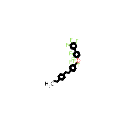 CCCc1ccc(CCc2ccc(C(F)(F)Oc3ccc(-c4cc(F)c(F)c(F)c4)c(F)c3F)c(F)c2)cc1